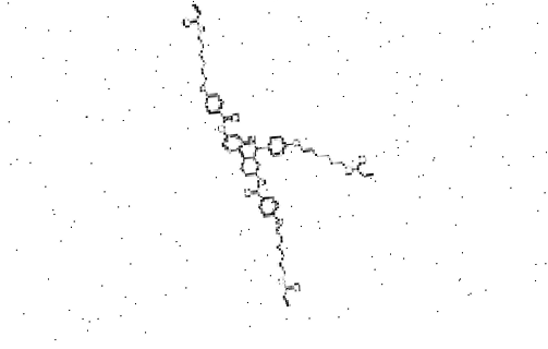 C=CC(=O)OCCCCCCOc1ccc(C(=O)Oc2ccc3c(c2)nc(-c2ccc(OCCCCCCOC(=O)C=C)cc2)c2cc(OC(=O)c4ccc(OCCCCCCOC(=O)C=C)cc4)ccc23)cc1